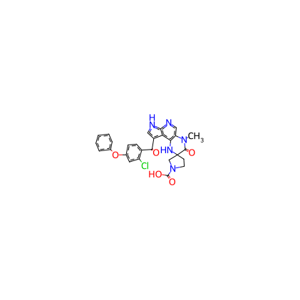 CN1C(=O)C2(CCN(C(=O)O)C2)Nc2c1cnc1[nH]cc(C(=O)c3ccc(Oc4ccccc4)cc3Cl)c21